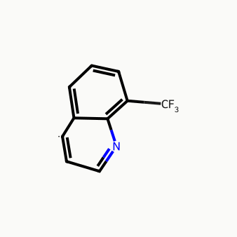 FC(F)(F)c1cccc2[c]ccnc12